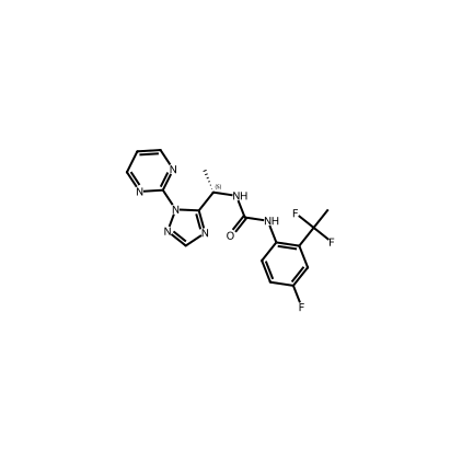 C[C@H](NC(=O)Nc1ccc(F)cc1C(C)(F)F)c1ncnn1-c1ncccn1